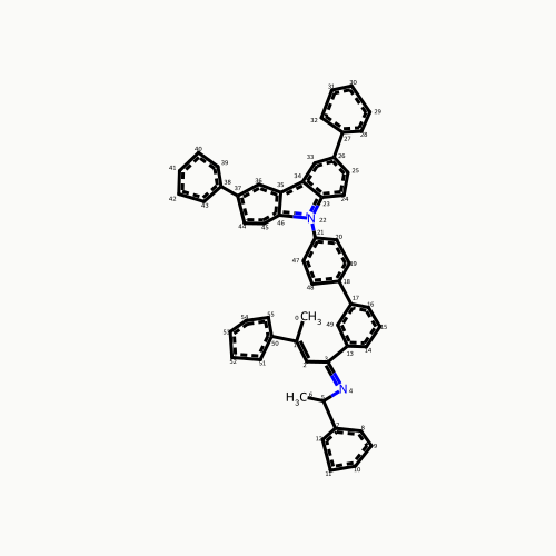 C/C(=C\C(=N/C(C)c1ccccc1)c1cccc(-c2ccc(-n3c4ccc(-c5ccccc5)cc4c4cc(-c5ccccc5)ccc43)cc2)c1)c1ccccc1